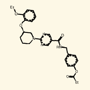 CCOc1ccccc1O[C@@H]1CCCN(c2ncc(C(=O)NCc3ccc(OC(=O)CC)cc3)cn2)C1